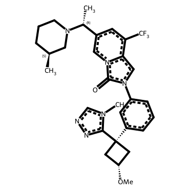 CO[C@H]1C[C@](c2cccc(-n3cc4c(C(F)(F)F)cc([C@@H](C)N5CCC[C@H](C)C5)cn4c3=O)c2)(c2nncn2C)C1